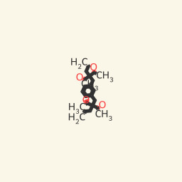 C=CCC(Cc1cccc(CC(CC=C)(C(C)=O)C(C)=O)c1)(C(C)=O)C(C)=O